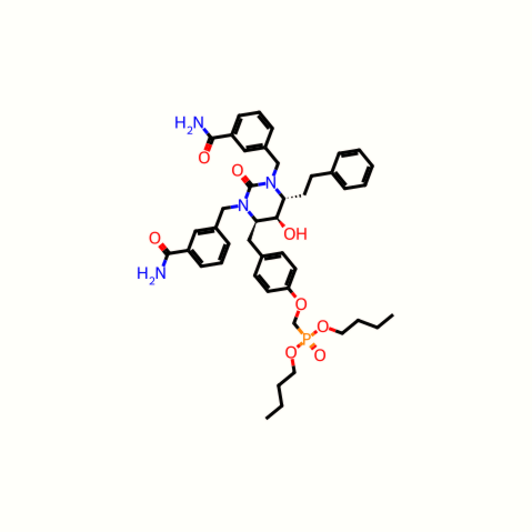 CCCCOP(=O)(COc1ccc(C[C@@H]2[C@H](O)[C@@H](CCc3ccccc3)N(Cc3cccc(C(N)=O)c3)C(=O)N2Cc2cccc(C(N)=O)c2)cc1)OCCCC